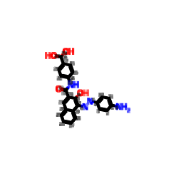 Nc1ccc(N=Nc2c(O)c(C(=O)Nc3ccc(C(O)O)cc3)cc3ccccc23)cc1